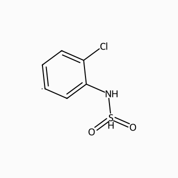 O=[SH](=O)Nc1c[c]ccc1Cl